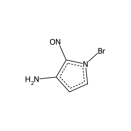 Nc1ccn(Br)c1N=O